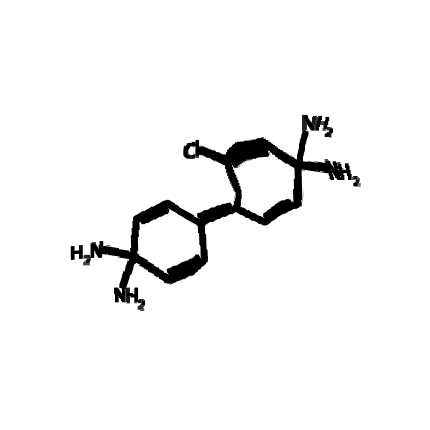 NC1(N)C=CC(=C2C=CC(N)(N)C=C2Cl)C=C1